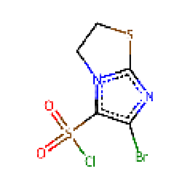 O=S(=O)(Cl)c1c(Br)nc2n1CCS2